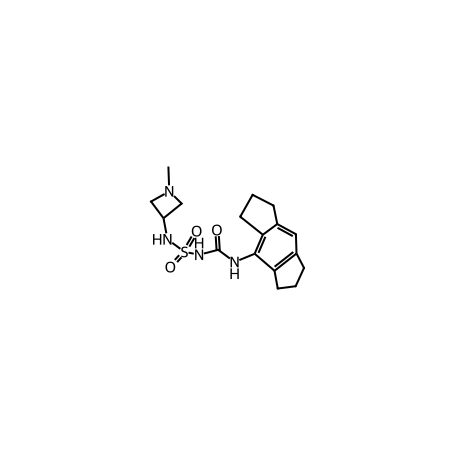 CN1CC(NS(=O)(=O)NC(=O)Nc2c3c(cc4c2CCC4)CCC3)C1